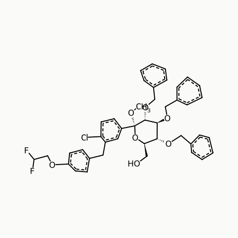 CO[C@@]1(c2ccc(Cl)c(Cc3ccc(OCC(F)F)cc3)c2)O[C@H](CO)[C@@H](OCc2ccccc2)[C@H](OCc2ccccc2)[C@H]1OCc1ccccc1